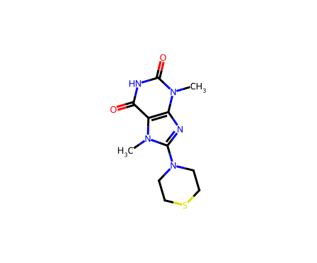 Cn1c(N2CCSCC2)nc2c1c(=O)[nH]c(=O)n2C